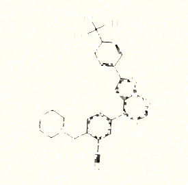 CC(C)(O)C1C=CC(c2cc3c(-c4ccc(CN5CCOCC5)c(C#N)c4)ncnc3[nH]2)=CC1